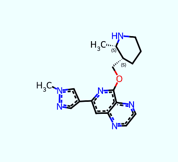 C[C@@H]1NCCC[C@@H]1COc1nc(-c2cnn(C)c2)cc2nccnc12